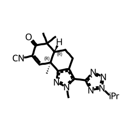 [C-]#[N+]C1=C[C@]2(C)c3nn(C)c(-c4nnn(C(C)C)n4)c3CC[C@H]2C(C)(C)C1=O